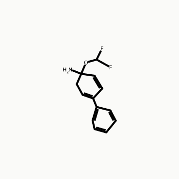 NC1(OC(F)F)C=CC(c2ccccc2)=CC1